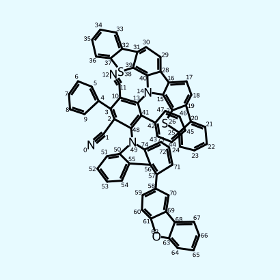 N#Cc1c(-c2ccccc2)c(C#N)c(-n2c3c(ccc4c5ccccc5sc43)c3ccc4c5ccccc5sc4c32)c(-c2ccccc2)c1-n1c2ccccc2c2c(-c3ccc4oc5ccccc5c4c3)cccc21